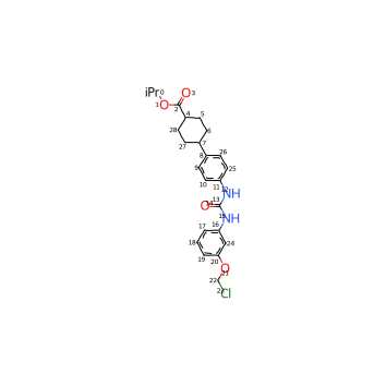 CC(C)OC(=O)C1CCC(c2ccc(NC(=O)Nc3cccc(OCCl)c3)cc2)CC1